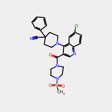 CS(=O)(=O)N1CCN(C(=O)c2cnc3ccc(Cl)cc3c2N2CCC(C#N)(c3ccccc3)CC2)CC1